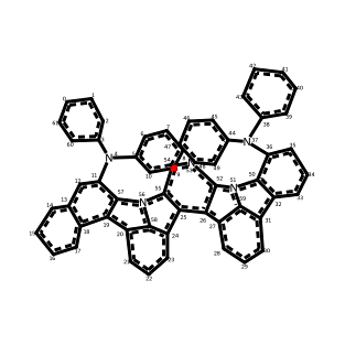 c1ccc(N(c2ccccc2)c2cc3ccccc3c3c4cccc5c6c7c8cccc9c%10cccc(N(c%11ccccc%11)c%11ccccc%11)c%10n(c7ncc6n(c23)c54)c98)cc1